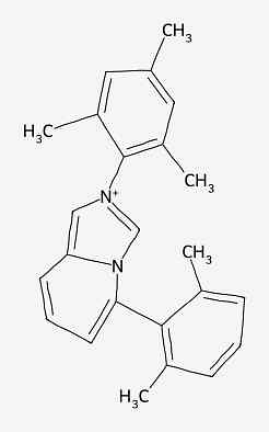 Cc1cc(C)c(-[n+]2cc3cccc(-c4c(C)cccc4C)n3c2)c(C)c1